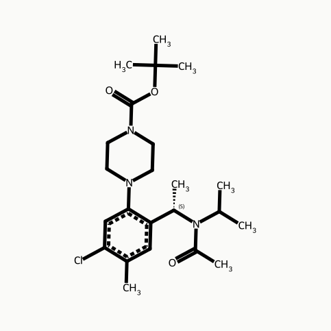 CC(=O)N(C(C)C)[C@@H](C)c1cc(C)c(Cl)cc1N1CCN(C(=O)OC(C)(C)C)CC1